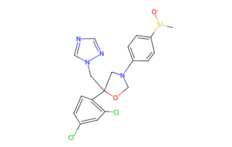 C[S+]([O-])c1ccc(N2COC(Cn3cncn3)(c3ccc(Cl)cc3Cl)C2)cc1